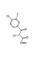 COC(=O)C(Cl)C(=O)c1ccc(Cl)c(F)c1